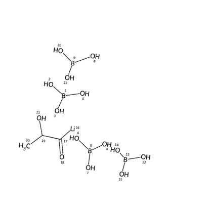 OB(O)O.OB(O)O.OB(O)O.OB(O)O.[Li][C](=O)C(C)O